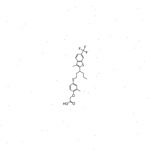 CCCC(CCSc1ccc(OCC(=O)O)c(C)c1)c1sc2cc(C(F)(F)F)ccc2c1C